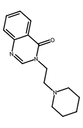 O=c1c2ccccc2ncn1CCN1CCCCC1